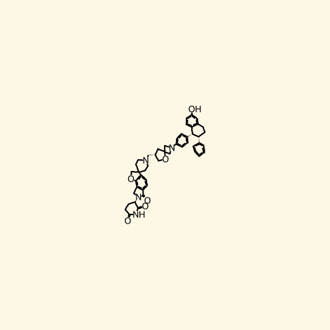 O=C1CC[C@H](N2Cc3c(ccc4c3OCC43CCN(C[C@H]4COC5(C4)CN(c4ccc([C@@H]6c7ccc(O)cc7CC[C@@H]6c6ccccc6)cc4)C5)CC3)C2=O)C(=O)N1